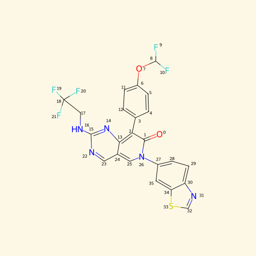 O=c1c(-c2ccc(OC(F)F)cc2)c2nc(NCC(F)(F)F)ncc2cn1-c1ccc2ncsc2c1